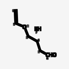 C=COCCCC=O.[KH]